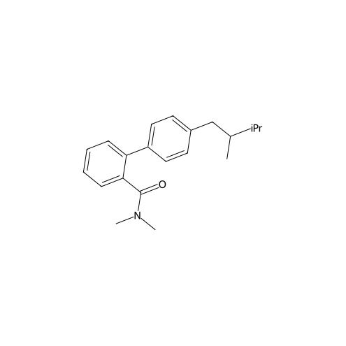 CC(C)C(C)Cc1ccc(-c2ccccc2C(=O)N(C)C)cc1